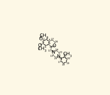 COc1cc2c(cc1OC)C(CN1CCN(c3ccccc3C)CC1)OCC2